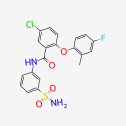 Cc1cc(F)ccc1Oc1ccc(Cl)cc1C(=O)Nc1cccc(S(N)(=O)=O)c1